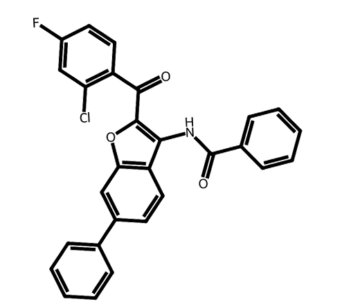 O=C(Nc1c(C(=O)c2ccc(F)cc2Cl)oc2cc(-c3ccccc3)ccc12)c1ccccc1